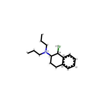 CCCN(CCC)C1CCc2ccccc2C1Br